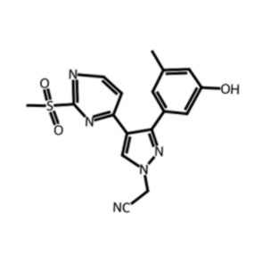 Cc1cc(O)cc(-c2nn(CC#N)cc2-c2ccnc(S(C)(=O)=O)n2)c1